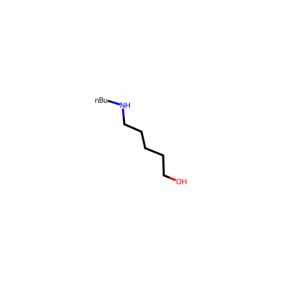 CCCCNCCCCCO